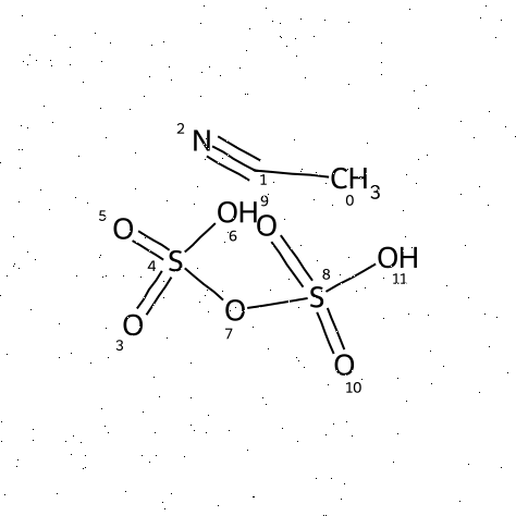 CC#N.O=S(=O)(O)OS(=O)(=O)O